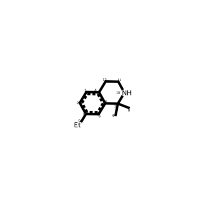 CCc1ccc2c(c1)C(C)(C)NCC2